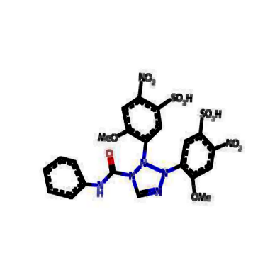 COc1cc([N+](=O)[O-])c(S(=O)(=O)O)cc1N1N=CN(C(=O)Nc2ccccc2)N1c1cc(S(=O)(=O)O)c([N+](=O)[O-])cc1OC